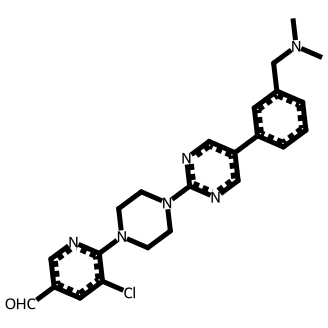 CN(C)Cc1cccc(-c2cnc(N3CCN(c4ncc(C=O)cc4Cl)CC3)nc2)c1